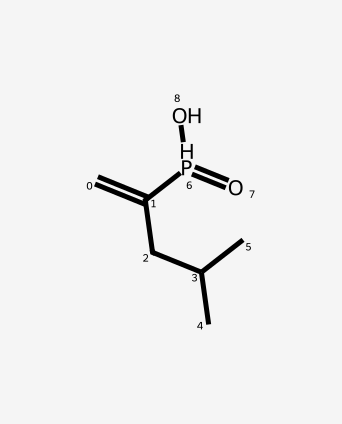 C=C(CC(C)C)[PH](=O)O